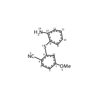 COc1ccc(C#N)c(Sc2ccccc2N)c1